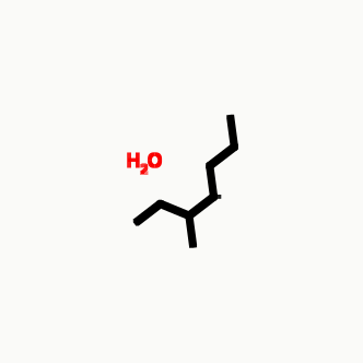 CCC[CH]C(C)CC.O